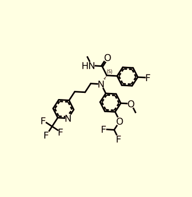 CNC(=O)[C@H](c1ccc(F)cc1)N(CCCc1ccc(C(F)(F)F)nc1)c1ccc(OC(F)F)c(OC)c1